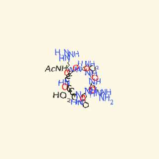 CC(=O)N[C@@H](CCCNC(=N)N)C(=O)N[C@H]1CCCNC(=O)CCC(C(=O)O)NC(=O)[C@H](Cc2c[nH]c3ccccc23)NC(=O)[C@H](CCCNC(=N)N)NC(=O)[C@@H](Cc2ccccc2)NC(=O)[C@H](CCN)NC1=O